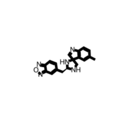 Cc1ccc2c(c1)C1(C=N2)CN[C@@H](Cc2ccc3nonc3c2)N1